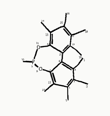 Cc1c(C)c(C)c2c(op(C)oc3c(C)c(C)c(C)c(C)c32)c1C